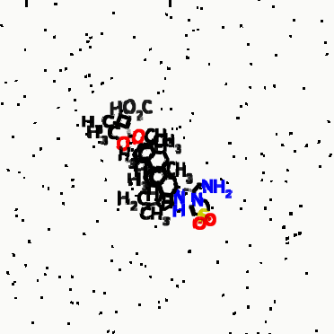 C=C(C)[C@@H]1CC[C@]2(NC[C@H](CN)N3CCS(=O)(=O)CC3)CC[C@]3(C)[C@H](CC[C@@H]4[C@@]5(C)CC[C@H](OC(=O)[C@H]6C[C@@H](C(=O)O)C6(C)C)C(C)(C)[C@@H]5CC[C@]43C)[C@@H]12